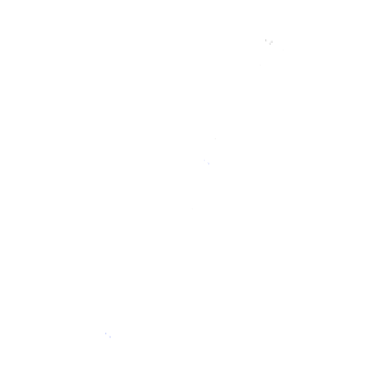 O=C(Oc1ccc([N+](=O)[O-])cc1)N1CCC(CCCCc2ccncc2)CC1